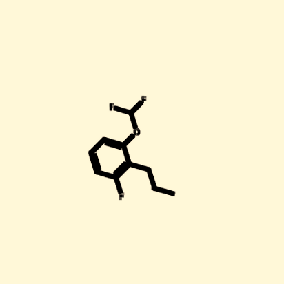 C[CH]Cc1c(F)cccc1OC(F)F